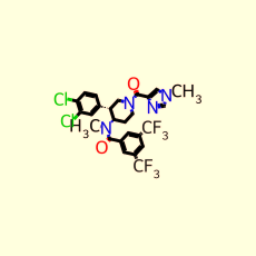 CN(C(=O)c1cc(C(F)(F)F)cc(C(F)(F)F)c1)[C@@H]1CCN(C(=O)c2cn(C)cn2)C[C@H]1c1ccc(Cl)c(Cl)c1